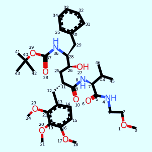 COCCNC(=O)[C@@H](NC(=O)[C@H](Cc1ccc(OC)c(OC)c1OC)C[C@H](O)[C@H](Cc1ccccc1)NC(=O)OC(C)(C)C)C(C)C